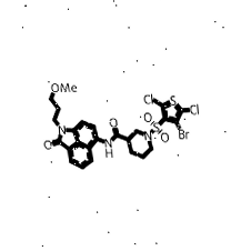 COCCCN1C(=O)c2cccc3c(NC(=O)C4CCCN(S(=O)(=O)c5c(Cl)sc(Cl)c5Br)C4)ccc1c23